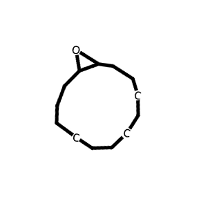 C1CCCCCC2OC2CCCCC1